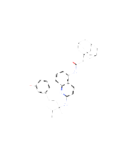 CC(C)C(C)(CCc1cccc(O)c1)Nc1ccc2c(NC(=O)CC34CC5CC(CC(C5)C3)C4)cccc2n1